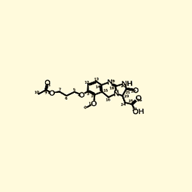 COc1c(OCCCOC(C)=O)ccc2c1CN1C(=N2)NC(=O)C1CC(=O)O